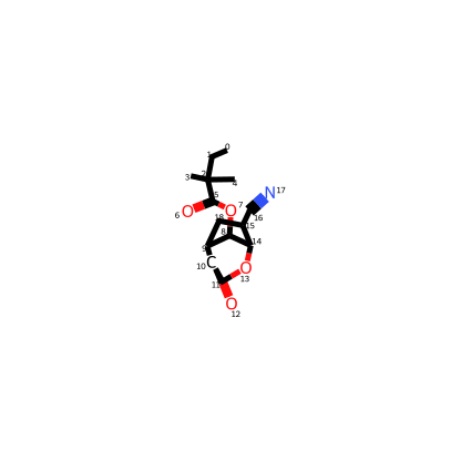 CCC(C)(C)C(=O)OC1C2CC(=O)OC1C(C#N)C2